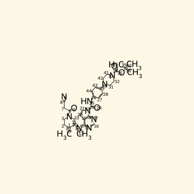 C[C@@H]1CCN(C(=O)CC#N)C[C@@H]1N(C)c1ncnc2c1ccn2C(=O)Nc1ccc(N2CCN(C(=O)OC(C)(C)C)CC2)cc1